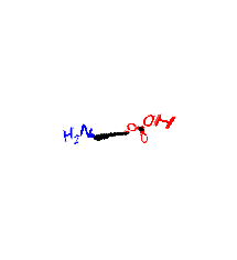 NC=CCOC(=O)O